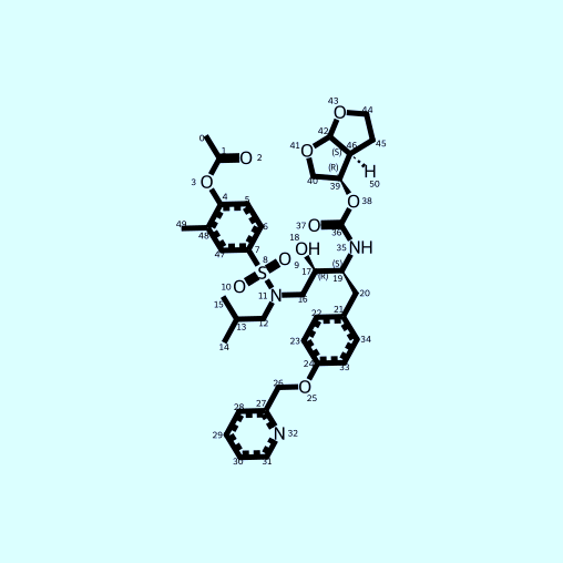 CC(=O)Oc1ccc(S(=O)(=O)N(CC(C)C)C[C@@H](O)[C@H](Cc2ccc(OCc3ccccn3)cc2)NC(=O)O[C@H]2COC3OCC[C@H]32)cc1C